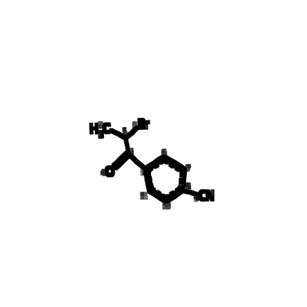 CC(Br)C(=O)c1ccc(C#N)cc1